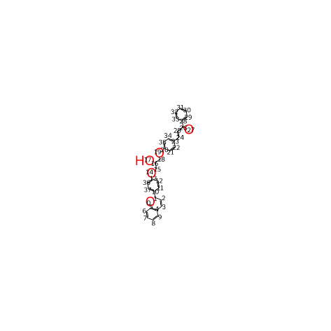 O=C(/C=C\c1ccccc1)c1ccc(OC[C@@H](O)COc2ccc(/C=C/C(=O)c3ccccc3)cc2)cc1